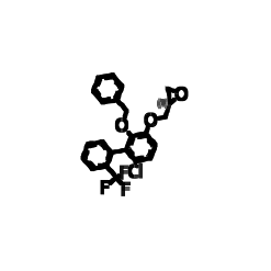 FC(F)(F)c1ccccc1-c1c(Cl)ccc(OC[C@H]2CO2)c1OCc1ccccc1